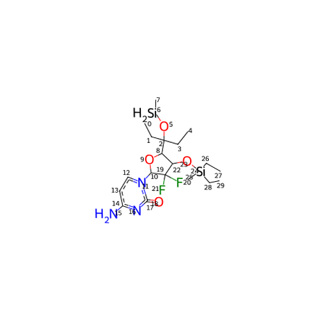 CCC(CC)(O[SiH2]C)C1OC(n2ccc(N)nc2=O)C(F)(F)C1O[Si](C)(CC)CC